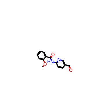 COc1ccccc1C(=O)Nc1ccc([C]=O)cn1